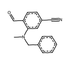 CN(Cc1ccccc1)c1cc(C#N)ccc1C=O